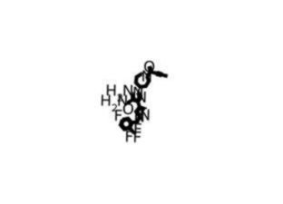 CC#CC(=O)N1CCC[C@H](n2nc(-c3cnn(Cc4cc(F)ccc4C(F)(F)F)c3)c(C(N)=O)c2N)CC1